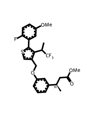 COC(=O)C[C@@H](C)c1cccc(OCc2csc(-c3cc(OC)ccc3F)c2C(C)C(F)(F)F)c1